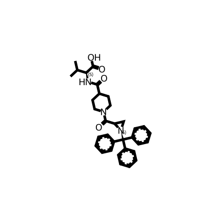 CC(C)[C@H](NC(=O)C1CCN(C(=O)C2C[N@@]2C(c2ccccc2)(c2ccccc2)c2ccccc2)CC1)C(=O)O